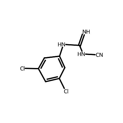 N#CNC(=N)Nc1cc(Cl)cc(Cl)c1